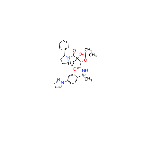 C[C@@H](NC(=O)C1OC(C)(C)O[C@@]1(C)C(=O)N1CCCC1c1ccccc1)c1ccc(-n2cccn2)cc1